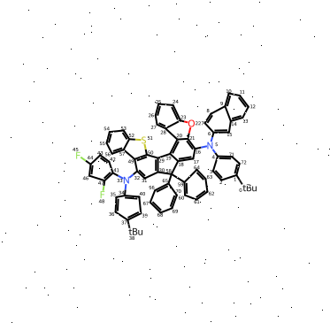 CC(C)(C)c1ccc(N(c2ccc3ccccc3c2)c2cc3c(c4c2oc2ccccc24)-c2c(cc(N(c4ccc(C(C)(C)C)cc4)c4ccc(F)cc4F)c4c2sc2ccccc24)C3(c2ccccc2)c2ccccc2)cc1